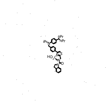 CCCC(CCC)c1ccc(N(Cc2ccc(-c3csc(CN(CC(=O)O)C(=O)N4CCc5ccccc54)n3)cc2)C(C)C)cc1